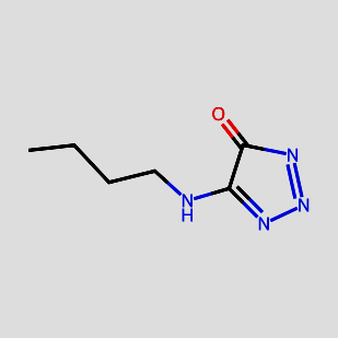 CCCCNC1=NN=NC1=O